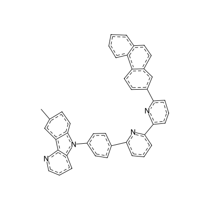 Cc1ccc2c(c1)c1ncccc1n2-c1ccc(-c2cccc(-c3cccc(-c4ccc5c(ccc6ccccc65)c4)n3)n2)cc1